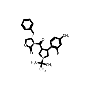 Cc1ccc(C2CN(C(C)(C)C)CC2C(=O)N2C(=O)OC[C@@H]2Cc2ccccc2)c(F)c1